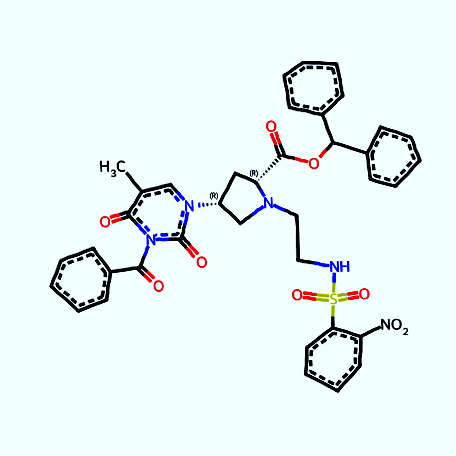 Cc1cn([C@@H]2C[C@H](C(=O)OC(c3ccccc3)c3ccccc3)N(CCNS(=O)(=O)c3ccccc3[N+](=O)[O-])C2)c(=O)n(C(=O)c2ccccc2)c1=O